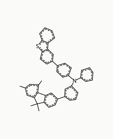 Cc1cc(C)c2c(c1)C(C)(C)c1ccc(-c3cccc(N(c4ccccc4)c4ccc(-c5ccc6sc7ccccc7c6c5)cc4)c3)cc1-2